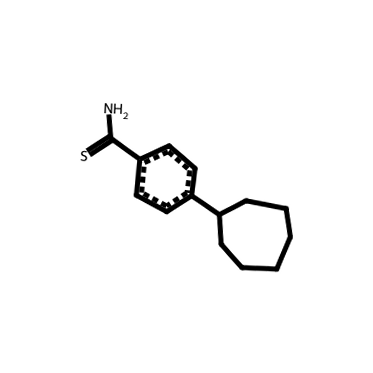 NC(=S)c1ccc(C2CCCCCC2)cc1